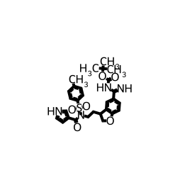 Cc1ccc(S(=O)(=O)N(CCC2COc3ccc(C(=N)NC(=O)OC(C)(C)C)cc32)C(=O)c2cc[nH]c2)cc1